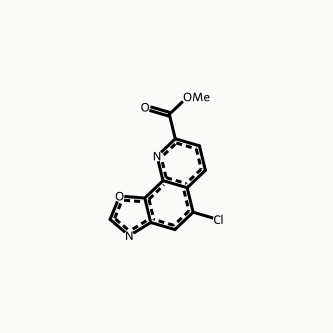 COC(=O)c1ccc2c(Cl)cc3ncoc3c2n1